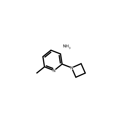 Cc1cccc(N2CCC2)n1.N